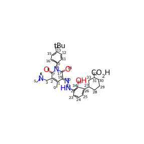 CC1=C(CN(C)C)C(=O)N(c2ccc(C(C)(C)C)cc2)C(=O)C1=NNc1cccc(C2CCCC(C(=O)O)C2)c1O